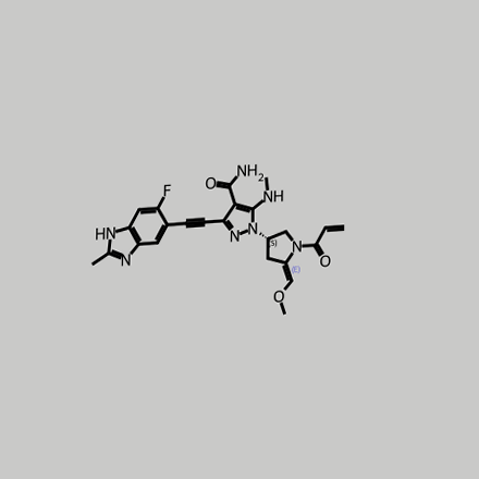 C=CC(=O)N1C[C@@H](n2nc(C#Cc3cc4nc(C)[nH]c4cc3F)c(C(N)=O)c2NC)C/C1=C\OC